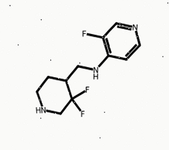 Fc1cnccc1NCC1CCNCC1(F)F